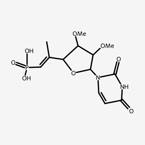 COC1C(/C(C)=C/P(=O)(O)O)OC(n2ccc(=O)[nH]c2=O)C1OC